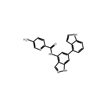 Nc1ccc(C(=O)Nc2cc(-c3cccc4[nH]ccc34)cc3[nH]ncc23)nc1